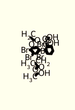 C=C(C)C(=O)OC(C)O.C=CC(=O)Oc1c(Br)c(Br)c(Br)c(Br)c1Br.O=P(O)(O)Oc1ccccc1